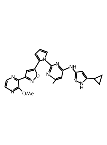 COc1nccnc1-c1cc(-c2cccn2-c2nc(C)cc(Nc3cc(C4CC4)[nH]n3)n2)on1